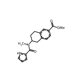 COC(=O)c1ccc2c(c1)CCC(N(C)C(=O)c1ccc[nH]1)C2